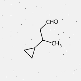 CC(CC=O)C1CC1